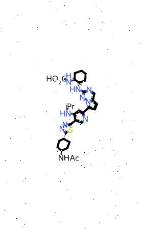 CC(=O)N[C@H]1CC[C@H](c2nnc(-c3cnc(-c4ccc5cnc(N[C@@H]6CCCC[C@@H]6NC(=O)O)nn45)cc3NC(C)C)s2)CC1